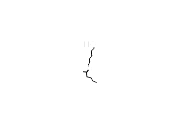 CCCCC(C)OCCCCCCO